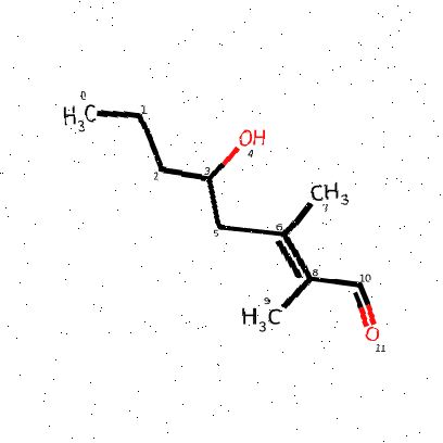 CCCC(O)C/C(C)=C(\C)C=O